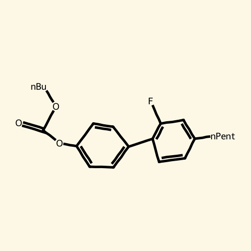 CCCCCc1ccc(-c2ccc(OC(=O)OCCCC)cc2)c(F)c1